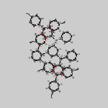 Cc1ccc(N(c2ccc(C)cc2)c2ccc(-c3cccc(-c4ccc(N(c5ccc(C)cc5)c5ccc(C)cc5)cc4C)c3-c3cc(N(c4ccccc4)c4ccccc4)cc(N(c4ccccc4)c4ccccc4)c3)c(C)c2)cc1